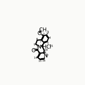 COc1cccc2c1CCN1C(=O)c3cccnc3CC21.Cl